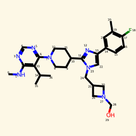 CNc1ncnc(N2CCC(c3nc(-c4ccc(F)c(C)c4)cn3CC3CN(CO)C3)CC2)c1C(C)C